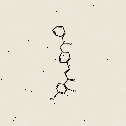 O=C(Oc1ccc(/C=C/C(=O)c2ccc(O)cc2O)cc1)c1ccccc1